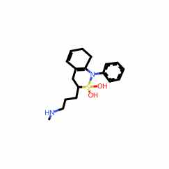 CNCCCC1CC2=C(CCC=C2)N(c2ccccc2)S1(O)O